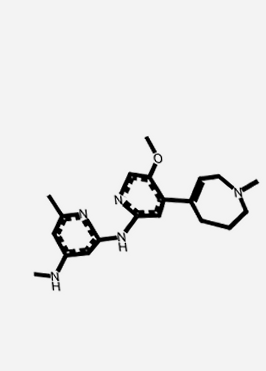 CNc1cc(C)nc(Nc2cc(C3=CCN(C)CCC3)c(OC)cn2)c1